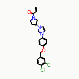 C=CC(=O)N1CC[C@@H](N2C=CN(c3ccc(OCc4ccc(Cl)c(Cl)c4)cc3)C2)C1